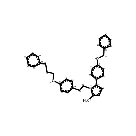 Cc1ccc(-c2ccc(OCc3ccccc3)cc2)n1CCc1ccc(OCCCc2ccccc2)cc1